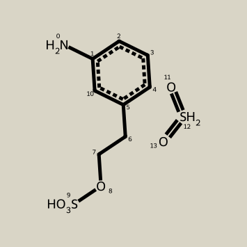 Nc1cccc(CCOS(=O)(=O)O)c1.O=[SH2]=O